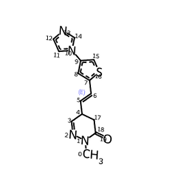 CN1N=CC(/C=C/c2cc(-n3ccnc3)cs2)CC1=O